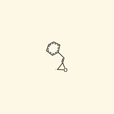 [CH]1OC1=Cc1ccccc1